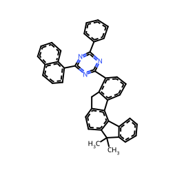 CC1(C)c2ccccc2-c2c1ccc1c2-c2cccc(-c3nc(-c4ccccc4)nc(-c4cccc5ccccc45)n3)c2C1